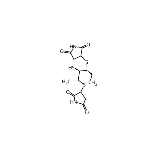 CC[C@H](SC1CC(=O)NC1=O)[C@H](S)[C@@H](C)SC1CC(=O)NC1=O